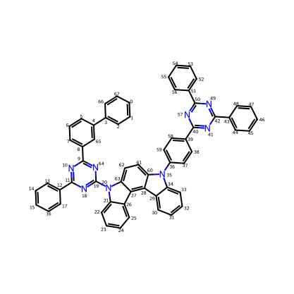 c1ccc(-c2cccc(-c3nc(-c4ccccc4)nc(-n4c5ccccc5c5c6c7ccccc7n(-c7ccc(-c8nc(-c9ccccc9)nc(-c9ccccc9)n8)cc7)c6ccc54)n3)c2)cc1